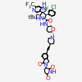 CC(C)(C)C[C@@H]1N[C@@H](C(=O)N[C@@H]2CC[C@@H](CN3CCC(C#Cc4ccc5c(c4)CN(C4CCC(=O)NC4=O)C5=O)CC3)OC2)[C@H](c2cccc(Cl)c2F)[C@]12CNc1cc(C(F)(F)F)ncc12